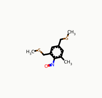 CSCc1cc(C)c(N=O)c(CSC)c1